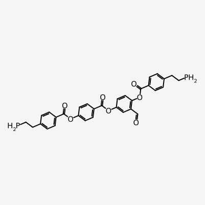 O=Cc1cc(OC(=O)c2ccc(OC(=O)c3ccc(CCP)cc3)cc2)ccc1OC(=O)c1ccc(CCP)cc1